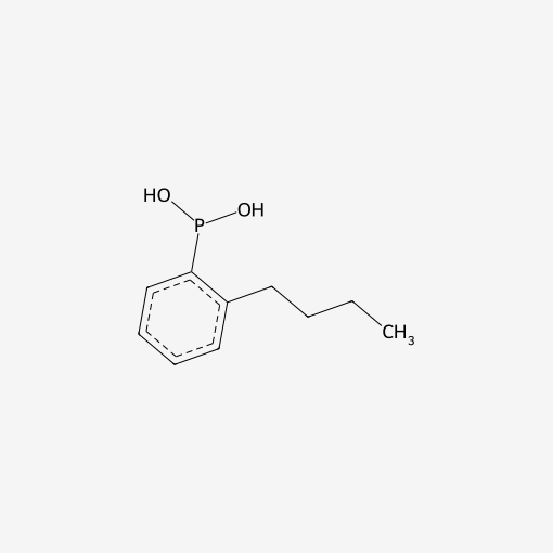 CCCCc1ccccc1P(O)O